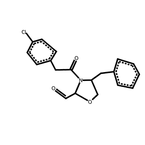 O=CC1OCC(Cc2ccccc2)N1C(=O)Cc1ccc(Cl)cc1